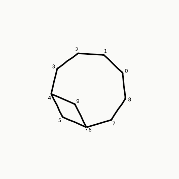 C1CCCC2C[C](CC1)C2